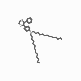 CCCCCCCCCCCCCCN(CCCCCCCCCCCCCC)c1ccc(C2=C(c3ccccc3)SCCO2)cc1